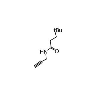 C#CCNC(=O)CCC(C)(C)C